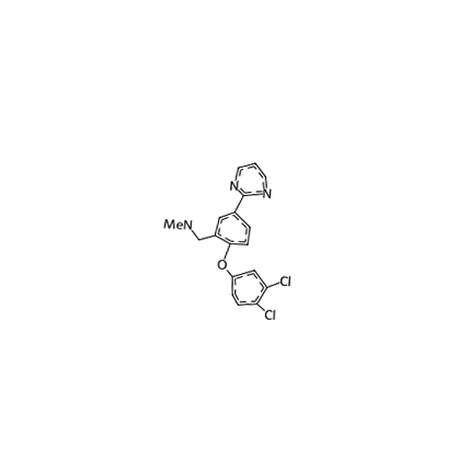 CNCc1cc(-c2ncccn2)ccc1Oc1ccc(Cl)c(Cl)c1